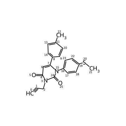 C#CCn1c(=O)cc(-c2ccc(C)cc2)n(-c2ccc(SC)cc2)c1=O